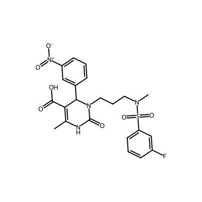 CC1=C(C(=O)O)C(c2cccc([N+](=O)[O-])c2)N(CCCN(C)S(=O)(=O)c2cccc(F)c2)C(=O)N1